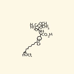 CCCCCCCCC=CCCCCCCCC(=O)N1CCC(C(CNC(=O)C2OC(C)(C)OCC2(C)C)C(=O)O)CC1